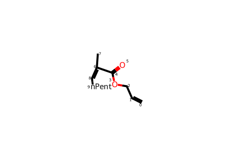 C=CCOC(=O)C(C)=CCCCCC